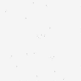 O=C(CF)Nc1cc([N+](=O)[O-])ccc1Cl